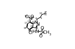 CS(=O)(=O)Nc1nn(CCCF)c2c([N+](=O)[O-])ccc(Cl)c12